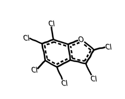 Clc1oc2c(Cl)c(Cl)c(Cl)c(Cl)c2c1Cl